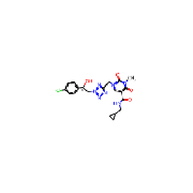 Cn1c(=O)c(C(=O)NCC2CC2)cn(Cc2nnn(C[C@H](O)c3ccc(Cl)cc3)n2)c1=O